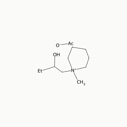 CC(=O)[O-].CCC(O)C[N+]1(C)CCCCC1